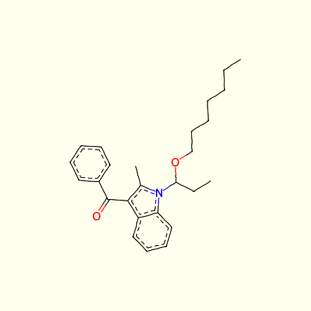 CCCCCCCOC(CC)n1c(C)c(C(=O)c2ccccc2)c2ccccc21